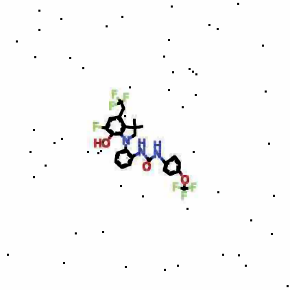 CC1(C)CN(c2ccccc2NC(=O)Nc2ccc(OC(F)(F)F)cc2)c2c(O)c(F)cc(CC(F)(F)F)c21